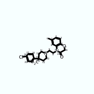 Cc1ccc2c(c1)N(CCN1CCC(C(=O)O)(c3ccc(Cl)cc3)CC1)C(=O)CO2